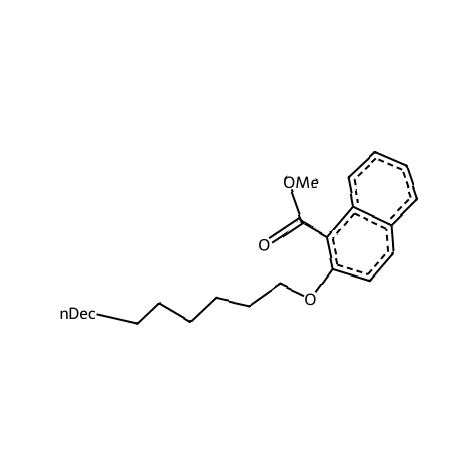 CCCCCCCCCCCCCCCCOc1ccc2ccccc2c1C(=O)OC